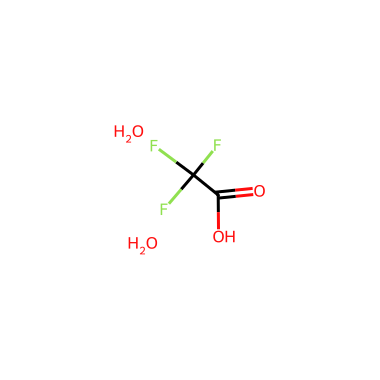 O.O.O=C(O)C(F)(F)F